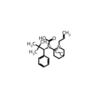 C=CCN1CC2CCC1(N(C(=O)O)[C@@H](c1ccccc1)C(C)(C)C)CC2